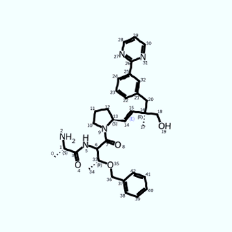 C[C@H](N)C(=O)NC(C(=O)N1CCC[C@H]1/C=C/[C@](C)(CO)Cc1cccc(-c2ncccn2)c1)[C@@H](C)OCc1ccccc1